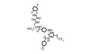 O=C(NCc1cc(F)ccc1F)C(=O)NC[C@H](NC(=O)c1ccc(Nc2nc(NC3(c4ccc(Cl)cc4)CC3)nc(OCC(F)(F)F)n2)cc1)C(=O)O